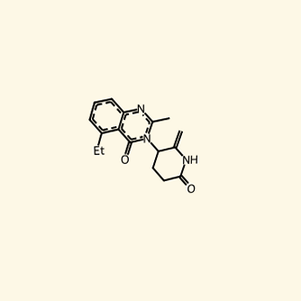 C=C1NC(=O)CCC1n1c(C)nc2cccc(CC)c2c1=O